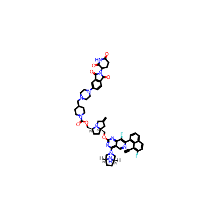 C#Cc1c(F)ccc2cccc(-c3ncc4c(N5C[C@H]6CC[C@@H](C5)N6)nc(OC[C@@]56CC[C@@H](COC(=O)N7CCC(CN8CCN(c9ccc%10c(c9)C(=O)N(C9CCC(=O)NC9=O)C%10=O)CC8)CC7)N5CC(=C)C6)nc4c3F)c12